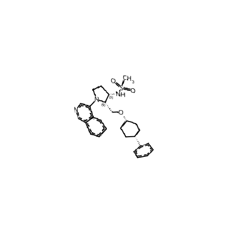 CS(=O)(=O)N[C@H]1CCN(c2cncc3ccccc23)[C@H]1CO[C@H]1CC[C@@H](c2ccccc2)CC1